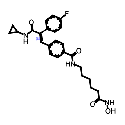 O=C(CCCCCNC(=O)c1ccc(/C=C(/C(=O)NC2CC2)c2ccc(F)cc2)cc1)NO